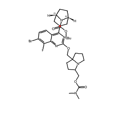 CN(C)C(=O)OCC1CCC2(COc3nc(N4C[C@H]5CC[C@@H](C4)N5C(=O)OC(C)(C)C)c4ccc(Br)c(F)c4n3)CCCN12